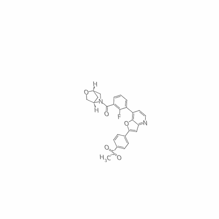 CS(=O)(=O)c1ccc(-c2cc3nccc(-c4cccc(C(=O)N5C[C@@H]6C[C@H]5CO6)c4F)c3o2)cc1